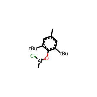 Cc1cc(C(C)(C)C)c([O][Al]([CH3])[Cl])c(C(C)(C)C)c1